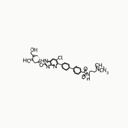 CN(C)CCNS(=O)(=O)c1ccc(-c2ccc(-c3nc4nc(O[C@H]5CC[C@H](CO)[C@@H](O)C5)[nH]c4cc3Cl)cc2)cc1